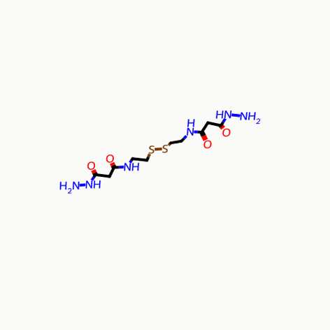 NNC(=O)CC(=O)NCCSSCCNC(=O)CC(=O)NN